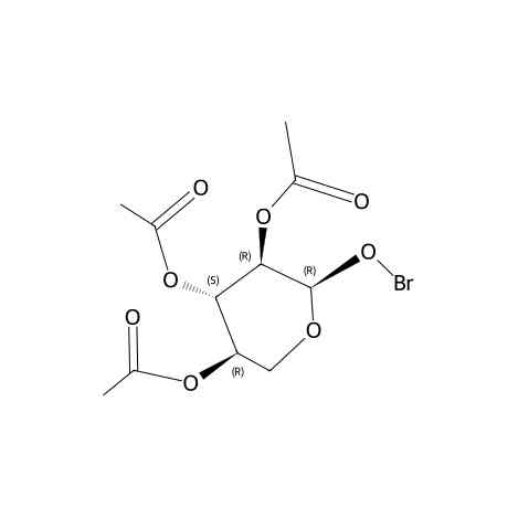 CC(=O)O[C@@H]1[C@@H](OC(C)=O)[C@@H](OBr)OC[C@H]1OC(C)=O